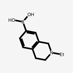 CCN1CCc2ccc(B(O)O)cc2C1